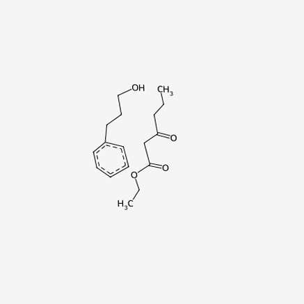 CCCC(=O)CC(=O)OCC.OCCCc1ccccc1